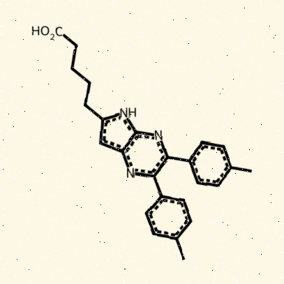 Cc1ccc(-c2nc3cc(CCCCC(=O)O)[nH]c3nc2-c2ccc(C)cc2)cc1